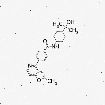 Cc1cc2c(-c3ccc(C(=O)NC4CCC(C(C)(C)O)CC4)cc3)nccc2o1